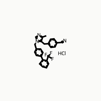 Cc1ncn(Cc2ccc(-c3ccccc3C(F)(F)F)cc2)c1Cc1ccc(C#N)cc1.Cl